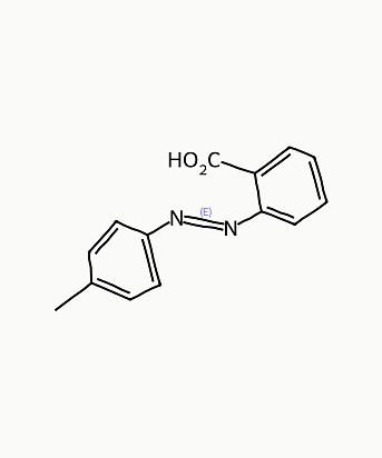 Cc1ccc(/N=N/c2ccccc2C(=O)O)cc1